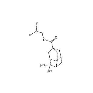 CCCC1(O)C2CC3CC1CC(C(=O)OCC(F)F)(C3)C2